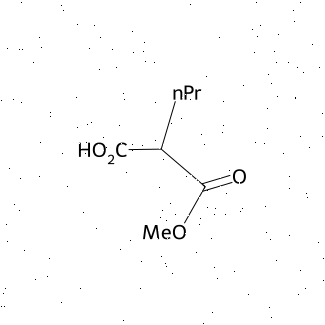 CCCC(C(=O)O)C(=O)OC